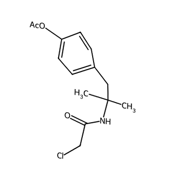 CC(=O)Oc1ccc(CC(C)(C)NC(=O)CCl)cc1